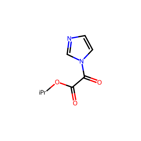 CC(C)OC(=O)C(=O)n1ccnc1